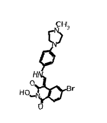 CN1CCN(c2ccc(NC=C3C(=O)N(CO)C(=O)c4ccc(Br)cc43)cc2)CC1